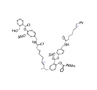 CNC(=O)Oc1ccc(CC(C)/C=C/CCCCC(=O)NCc2ccc(OC(=O)c3ccccc3CO)c(OC)c2)cc1C(=O)Oc1ccc(CNC(=O)CCCC/C=C/C(C)C)cc1OC